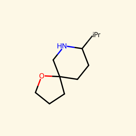 CC(C)C1CCC2(CCCO2)CN1